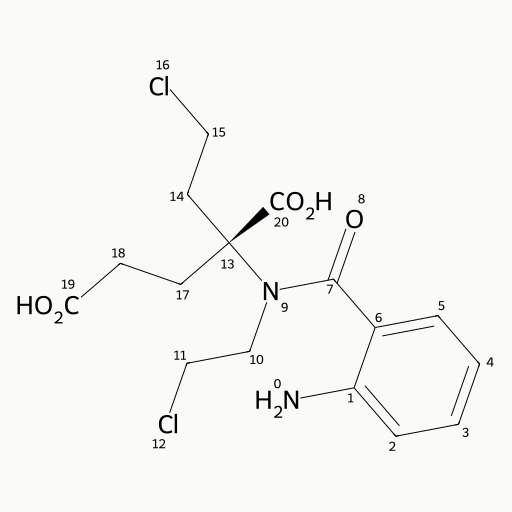 Nc1ccccc1C(=O)N(CCCl)[C@@](CCCl)(CCC(=O)O)C(=O)O